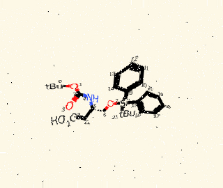 CC(C)(C)OC(=O)N[C@H](CO[Si](c1ccccc1)(c1ccccc1)C(C)(C)C)CC(=O)O